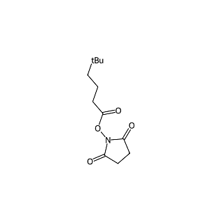 CC(C)(C)CCCC(=O)ON1C(=O)CCC1=O